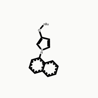 CCCCOC1=C[SH](c2cccc3ccccc23)C=C1